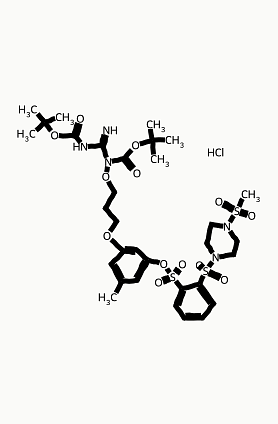 Cc1cc(OCCCON(C(=N)NC(=O)OC(C)(C)C)C(=O)OC(C)(C)C)cc(OS(=O)(=O)c2ccccc2S(=O)(=O)N2CCN(S(C)(=O)=O)CC2)c1.Cl